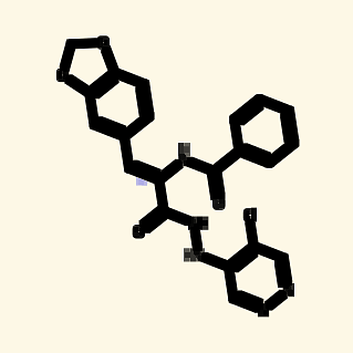 O=C(NNc1cnncc1Cl)/C(=C/c1ccc2c(c1)OCO2)NC(=O)c1ccccc1